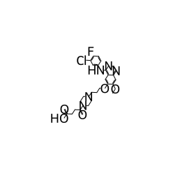 COc1cc2ncnc(Nc3ccc(F)c(Cl)c3)c2cc1OCCCN1CCN(C(=O)CCC(=O)O)CC1